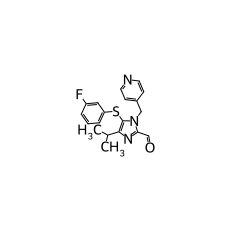 CC(C)c1nc(C=O)n(Cc2ccncc2)c1Sc1cccc(F)c1